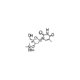 Cc1cn([C@H]2CC(O[Si](C)(C)C(C)(C)C)[C@@H](CO)O2)c(=O)[nH]c1=O